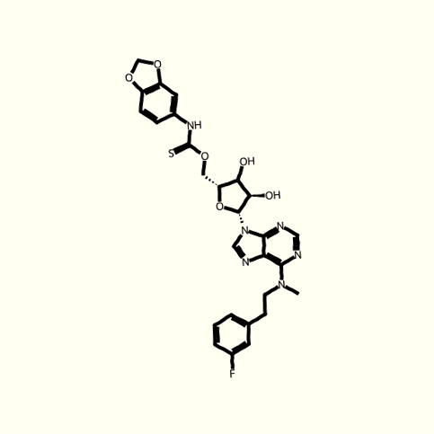 CN(CCc1cccc(F)c1)c1ncnc2c1ncn2[C@@H]1O[C@H](COC(=S)Nc2ccc3c(c2)OCO3)C(O)[C@H]1O